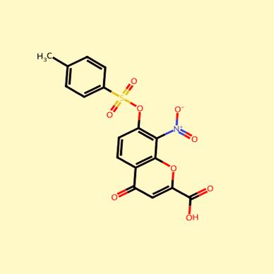 Cc1ccc(S(=O)(=O)Oc2ccc3c(=O)cc(C(=O)O)oc3c2[N+](=O)[O-])cc1